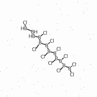 ClBBBB(Cl)B(Cl)B(Cl)B(Cl)B(Cl)B(Cl)B(Cl)B(Cl)B(Cl)Cl